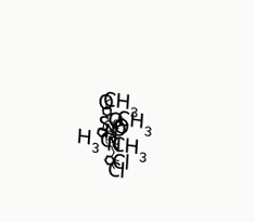 COc1ccc(C2Sc3ccccc3N(C[C@H](C)N(C)CCc3cccc(Cl)c3Cl)C(=O)C2OC(C)=O)cc1